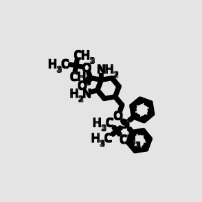 CC(C)(C)OC(=O)C1(N)CCC(CO[Si](c2ccccc2)(c2ccccc2)C(C)(C)C)CC1N